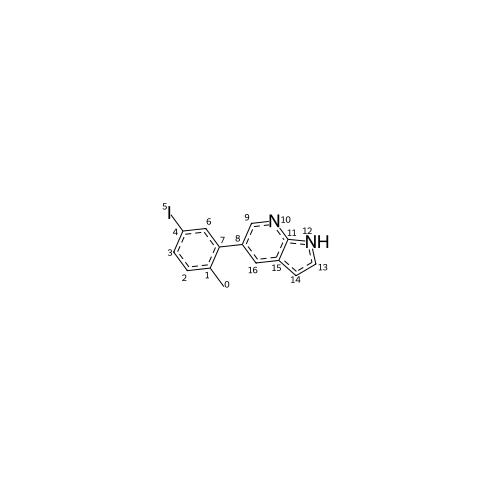 Cc1ccc(I)cc1-c1cnc2[nH]ccc2c1